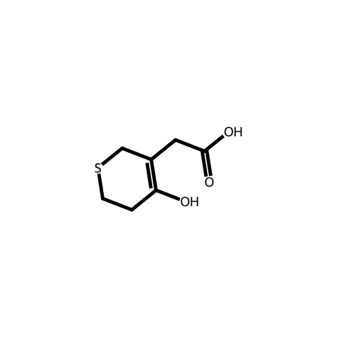 O=C(O)CC1=C(O)CCSC1